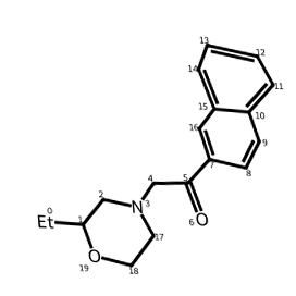 CCC1CN(CC(=O)c2ccc3ccccc3c2)CCO1